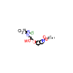 CC(C)(C)OC(=O)N1CCc2ccc(OC[C@H](O)CCn3cc([N+](=O)[O-])nc3Cl)cc2C1